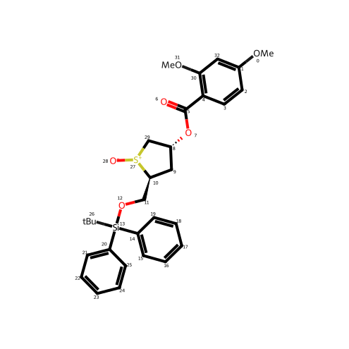 COc1ccc(C(=O)O[C@@H]2C[C@@H](CO[Si](c3ccccc3)(c3ccccc3)C(C)(C)C)[S+]([O-])C2)c(OC)c1